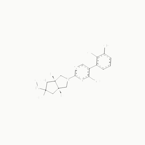 Cc1cccc(-c2cnc(N3C[C@@H]4CC(C)(NC(=O)O)C[C@@H]4C3)nc2N)c1Cl